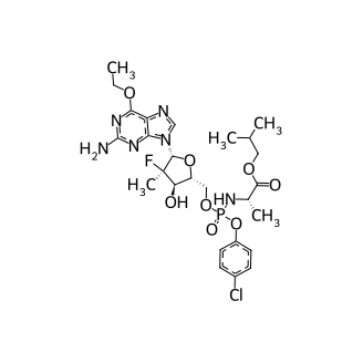 CCOc1nc(N)nc2c1ncn2[C@@H]1O[C@H](COP(=O)(N[C@@H](C)C(=O)OCC(C)C)Oc2ccc(Cl)cc2)[C@@H](O)[C@@]1(C)F